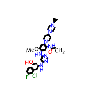 C=CC(=O)Nc1cc(Nc2cc(N[C@H](CCO)Cc3cccc(F)c3Cl)ncn2)c(OC)cc1N1CCC(N2CCN(C3CC3)CC2)CC1